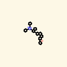 c1ccc(-c2nc(-c3ccccc3)nc(-c3ccc(-c4ccc5c(ccc6ccc7c(ccc8c9ccccc9oc87)c65)c4)c4ccccc34)n2)cc1